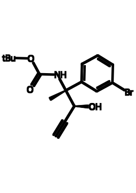 C#C[C@H](O)[C@](C)(NC(=O)OC(C)(C)C)c1cccc(Br)c1